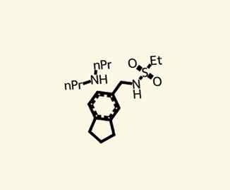 CCCNCCC.CCS(=O)(=O)NCc1ccc2c(c1)CCC2